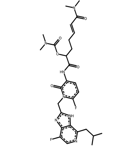 CC(C)Cc1ncc(F)c2nc(Cn3c(F)ccc(NC(=O)C(CC/C=C/C(=O)N(C)C)OC(=O)N(C)C)c3=O)[nH]c12